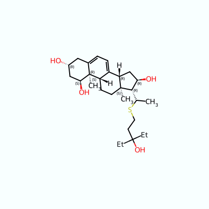 CCC(O)(CC)CCSC(C)[C@H]1[C@H](O)C[C@H]2C3=CC=C4C[C@@H](O)C[C@H](O)[C@]4(C)[C@H]3CC[C@@]21C